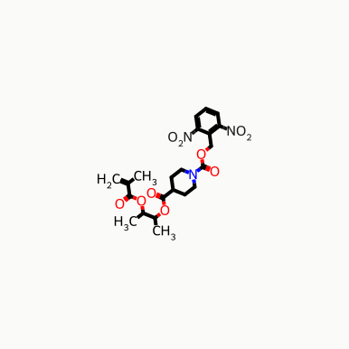 C=C(C)C(=O)OC(C)C(C)OC(=O)C1CCN(C(=O)OCc2c([N+](=O)[O-])cccc2[N+](=O)[O-])CC1